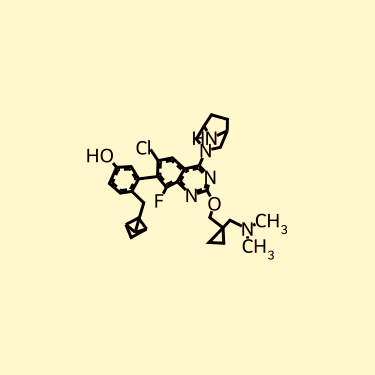 CN(C)CC1(COc2nc(N3CC4CCC(C3)N4)c3cc(Cl)c(-c4cc(O)ccc4CC4C5CC4C5)c(F)c3n2)CC1